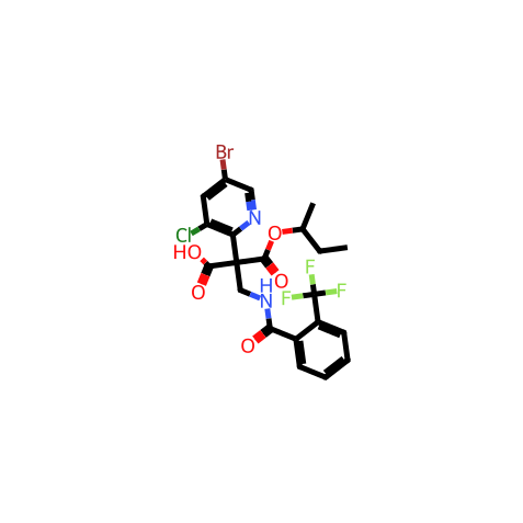 CCC(C)OC(=O)C(CNC(=O)c1ccccc1C(F)(F)F)(C(=O)O)c1ncc(Br)cc1Cl